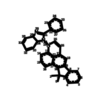 CC1(C)c2ccccc2-c2cc3c4c(cccc4c21)N(N1C(c2ccccc2)=NC2C=CC=CC21)C=C3